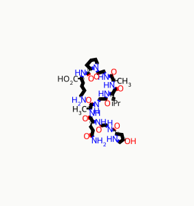 CC(C)C[C@H](NC(=O)CNC(=O)[C@H](C)NC(=O)[C@H](CCC(N)=O)NC(=O)CNC(=O)[C@@H]1C[C@@H](O)CN1)C(=O)N[C@@H](C)C(=O)NCC(=O)N1CCCC[C@H]1C(=O)N[C@@H](CCCCN)C(=O)O